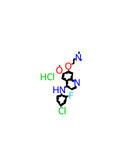 COc1cc2c(Nc3ccc(Cl)cc3F)ccnc2cc1OCCN(C)C.Cl